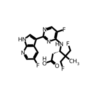 CC(CF)(CF)[C@H](CC(=O)O)Nc1nc(-c2c[nH]c3ncc(F)cc23)ncc1F